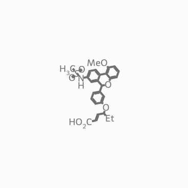 CCC(/C=C/C(=O)O)Oc1cccc(C2Oc3cccc(OC)c3-c3ccc(NS(C)(=O)=O)cc32)c1